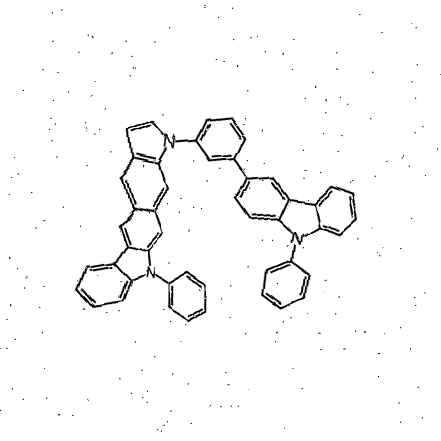 c1ccc(-n2c3ccccc3c3cc(-c4cccc(-n5ccc6cc7cc8c9ccccc9n(-c9ccccc9)c8cc7cc65)c4)ccc32)cc1